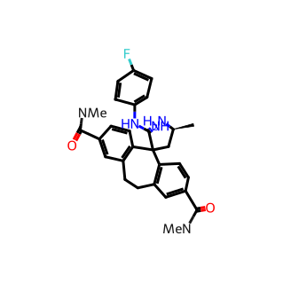 CNC(=O)c1ccc2c(c1)CCc1cc(C(=O)NC)ccc1C2(C[C@H](C)N)C(=N)Nc1ccc(F)cc1